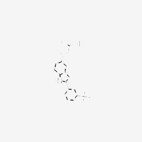 CC(C)(C)c1cccc(-c2cc3cc(SCC(=O)O)ccc3[nH]2)c1